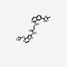 Cc1nc(-c2ccc3ccnc(NCCC(=O)Nc4cc5c(OC6COC6)nccn5n4)c3c2)no1